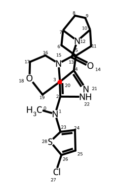 CN(c1cc(C2CC3CCC(C2)N3C(=O)N2CCOCC2)n[nH]1)c1ccc(Cl)s1